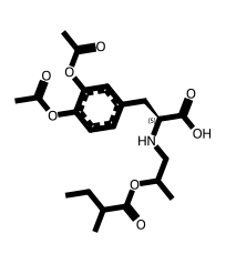 CCC(C)C(=O)OC(C)CN[C@@H](Cc1ccc(OC(C)=O)c(OC(C)=O)c1)C(=O)O